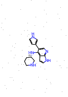 c1cc(-c2cnc3[nH]ccc3c2N[C@H]2CCCNC2)c[nH]1